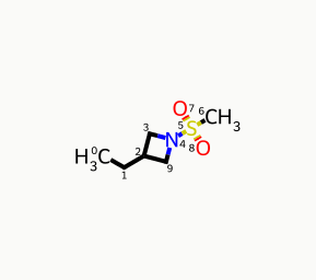 CCC1CN(S(C)(=O)=O)C1